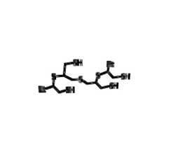 CCC(CS)SC(CS)CSCC(CS)SC(CC)CS